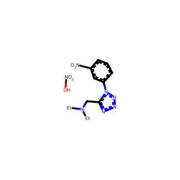 CCN(CC)Cc1nnnn1-c1cccc([N+](=O)[O-])c1.O=[N+]([O-])O